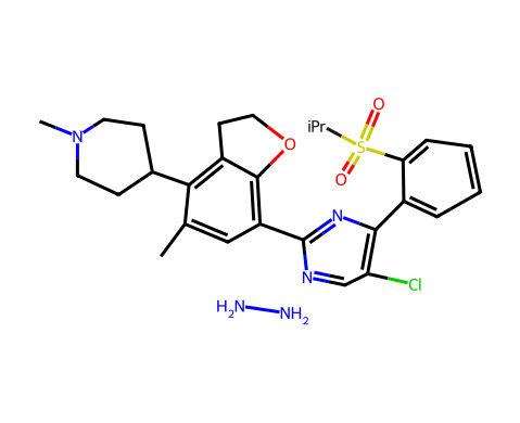 Cc1cc(-c2ncc(Cl)c(-c3ccccc3S(=O)(=O)C(C)C)n2)c2c(c1C1CCN(C)CC1)CCO2.NN